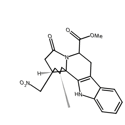 COC(=O)C1Cc2c([nH]c3ccccc23)C23C[C@H](C)C(C[N+](=O)[O-])[C@@H]2CC(=O)N13